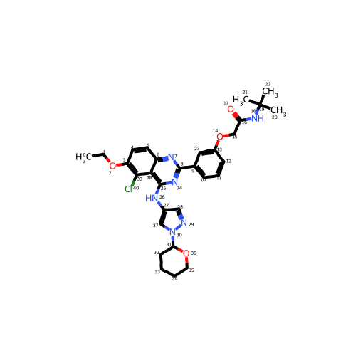 CCOc1ccc2nc(-c3cccc(OCC(=O)NC(C)(C)C)c3)nc(Nc3cnn(C4CCCCO4)c3)c2c1Cl